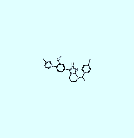 COc1cc(-c2[nH]nc3c2CCCN3C(C)c2ccc(F)cc2)ccc1-n1cnc(C)c1